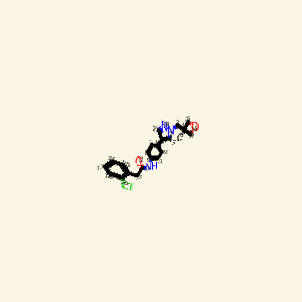 CC1(Cn2cc(-c3ccc(NC(=O)Cc4ccccc4Cl)cc3)cn2)COC1